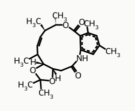 Cc1cc(C)c2c(c1)NC(=O)C[C@@H]1OC(C)(C)O[C@@H]1C(C)/C=C\[C@@H](C)[C@H](C)OC2=O